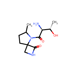 CC1CCC2(CNC2=O)N1C(=O)[C@@H](N)[C@H](C)O